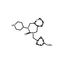 CC(C)COc1ccc(CN2Cc3ccccc3CN(C3CCNCC3)C2=O)cc1